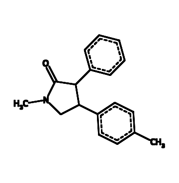 Cc1ccc(C2CN(C)C(=O)C2c2ccccc2)cc1